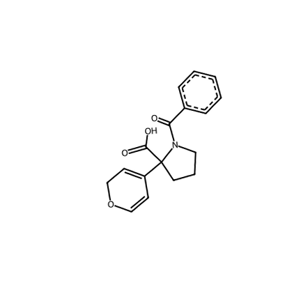 O=C(c1ccccc1)N1CCCC1(C(=O)O)C1=CCOC=C1